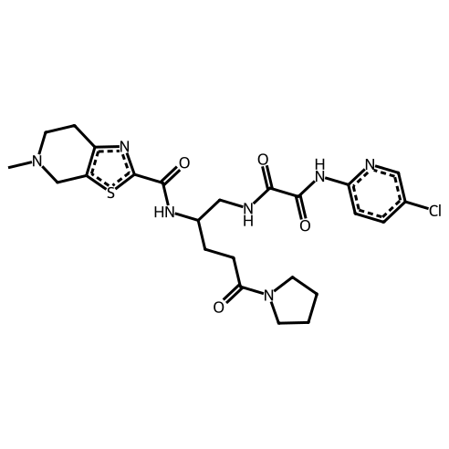 CN1CCc2nc(C(=O)NC(CCC(=O)N3CCCC3)CNC(=O)C(=O)Nc3ccc(Cl)cn3)sc2C1